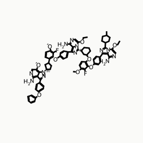 CCOc1cnc(N)c2c(-c3ccc(Oc4c(OC5CCC[C@@H](c6nc(-c7ccc(Oc8c(C9CC[C@@H](n%10nc(-c%11ccc(Oc%12ccccc%12)cc%11)c%11c(N)ncc(OC)c%11%10)C9)ccc(OC)c8F)cc7)c7c(N)ncc(OCC)n67)C5)ccc(OC)c4F)cc3)nc(C3CCC(C)CC3)n12